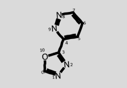 [c]1nnc(-c2cccnn2)o1